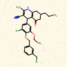 CCCC1CC(=O)C2=C(C1)NC(C)=C(C#N)C2c1cc(Br)c(OCc2cccc(CBr)c2)c(OCC)c1